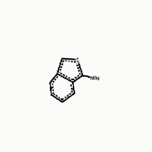 [CH2]CCCc1scc2ccccc12